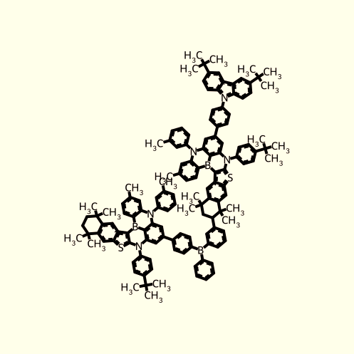 Cc1cccc(N2c3cc(C)ccc3B3c4c2cc(-c2ccc(B(c5ccccc5)c5cccc(C6CC(C)(C)c7cc8c9c(sc8cc7C6(C)C)N(c6ccc(C(C)(C)C)cc6)c6cc(-c7ccc(-n8c%10ccc(C(C)(C)C)cc%10c%10cc(C(C)(C)C)ccc%108)cc7)cc7c6B9c6ccc(C)cc6N7c6cccc(C)c6)c5)cc2)cc4N(c2ccc(C(C)(C)C)cc2)c2sc4cc5c(cc4c23)C(C)(C)CCC5(C)C)c1